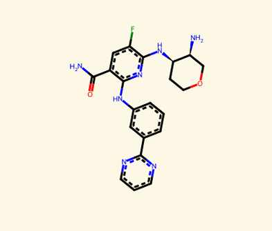 NC(=O)c1cc(F)c(N[C@@H]2CCOC[C@@H]2N)nc1Nc1cccc(-c2ncccn2)c1